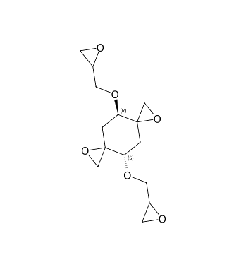 C1OC1CO[C@H]1CC2(CO2)[C@H](OCC2CO2)CC12CO2